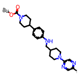 CCc1cnc(N2CCC(CNc3ccc(C4CCN(C(=O)OC(C)(C)C)CC4)cc3)CC2)cn1